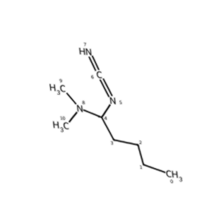 CCCC[C](N=C=N)N(C)C